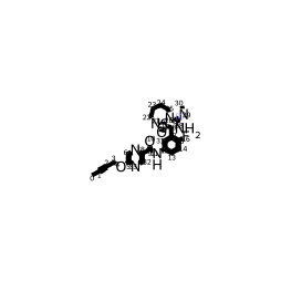 CC#CCOc1cnc(C(=O)Nc2ccc(F)c(CS3(=O)=NCCCCN3/C(N)=N\C)c2)cn1